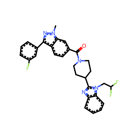 Cn1nc(-c2cccc(F)c2)c2ccc(C(=O)N3CCC(c4nc5ccccc5n4CC(F)F)CC3)cc21